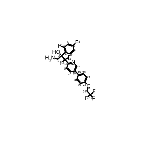 NC[C@](O)(c1ccc(F)cc1F)C(F)(F)c1ccc(-c2ccc(OCC(F)(F)F)cc2)cn1